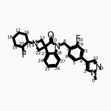 Cn1cc(-c2ccc(CN3C(=O)C4(CN(C5CCCCC5F)C4)c4ccccc43)c(F)c2)cn1